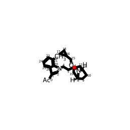 CC(=O)c1cn(CCCN2[C@@H]3CC[C@H]2C[C@@H](OCC2CC2)C3)c2c(C)cccc12